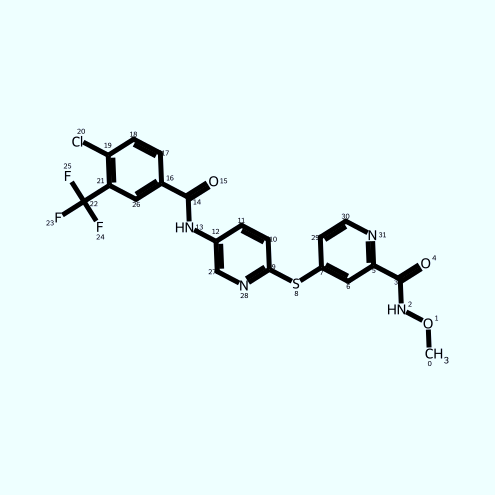 CONC(=O)c1cc(Sc2ccc(NC(=O)c3ccc(Cl)c(C(F)(F)F)c3)cn2)ccn1